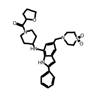 O=C(C1CCCO1)N1CCC(Nc2cc(CN3CCS(=O)(=O)CC3)cc3cc(-c4ccccc4)[nH]c23)CC1